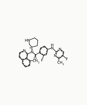 Cc1nc(Nc2ccc(C(=O)N(c3nccc4cccc(C)c34)[C@@H]3CCCNC3)c(F)c2)ncc1F